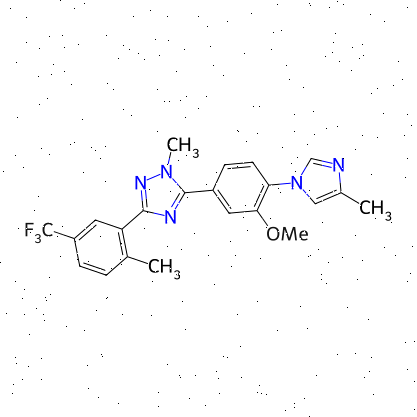 COc1cc(-c2nc(-c3cc(C(F)(F)F)ccc3C)nn2C)ccc1-n1cnc(C)c1